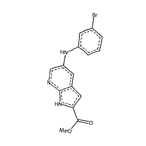 COC(=O)c1cc2cc(Nc3cccc(Br)c3)cnc2[nH]1